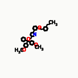 CCCc1cccc(COc2cccc(-c3ccc(COC(c4ccccc4)(c4ccc(OC)cc4)c4ccc(OC)cc4)cn3)c2)c1